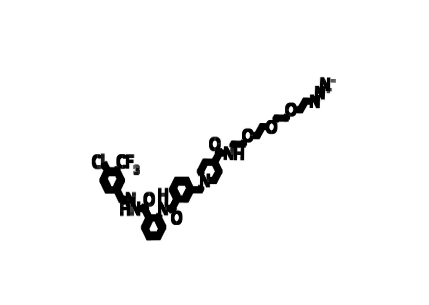 [N-]=[N+]=NCCOCCOCCOCCNC(=O)C1CCN(Cc2cccc(C(=O)Nc3ccccc3C(=O)N/N=C/c3ccc(Cl)c(C(F)(F)F)c3)c2)CC1